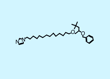 CC(C)(C)CC(COCCCCCCCCCCCCCCn1ccnc1)OCc1ccccc1